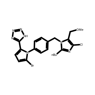 CCCCc1nc(Cl)c(COC)n1Cc1ccc(-n2c(Br)ccc2-c2nnn[nH]2)cc1